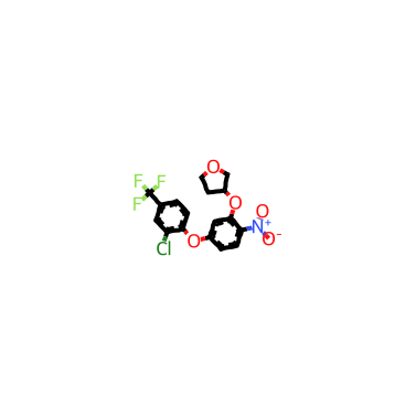 O=[N+]([O-])c1ccc(Oc2ccc(C(F)(F)F)cc2Cl)cc1OC1CCOC1